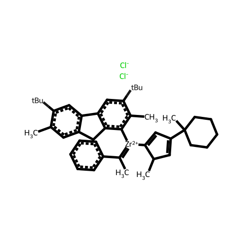 C/[C](c1ccccc1)=[Zr+2](\[C]1=CC(C2(C)CCCCC2)=CC1C)[c]1c(C)c(C(C)(C)C)cc2c1Cc1cc(C)c(C(C)(C)C)cc1-2.[Cl-].[Cl-]